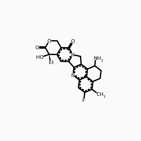 CC[C@@]1(O)C(=O)OCc2c1cc1n(c2=O)Cc2c-1nc1cc(F)c(C)c3c1c2C(N)CC3